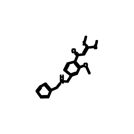 COc1cc(CNCc2ccccc2)ccc1C(=O)C=C(SC)SC